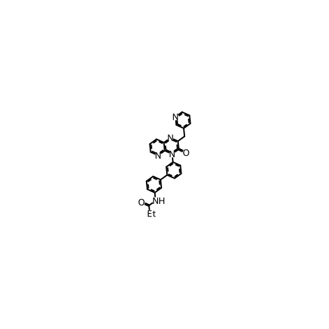 CCC(=O)Nc1cccc(-c2cccc(-n3c(=O)c(Cc4cccnc4)nc4cccnc43)c2)c1